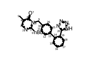 CCCCc1ncc(C)c(=O)n1Cc1ccc(-c2ccccc2-c2nnn[nH]2)cc1